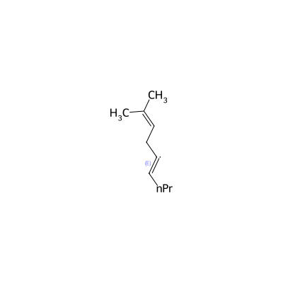 CCC/C=[C]/CC=C(C)C